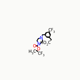 CC(OC(=O)N1CCN(Cc2cc(CC(=O)O)cc(C(F)(F)F)c2)CC1)C(F)(F)F